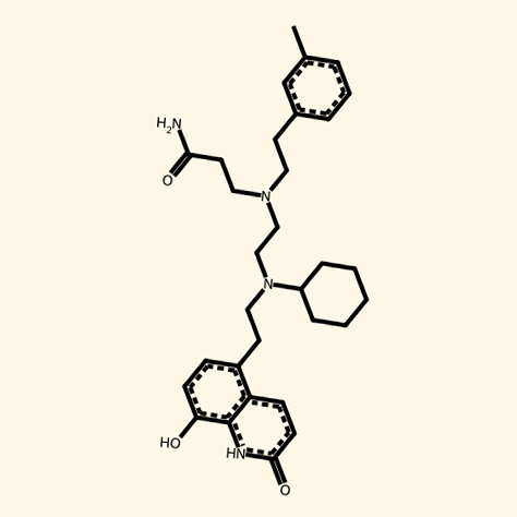 Cc1cccc(CCN(CCC(N)=O)CCN(CCc2ccc(O)c3[nH]c(=O)ccc23)C2CCCCC2)c1